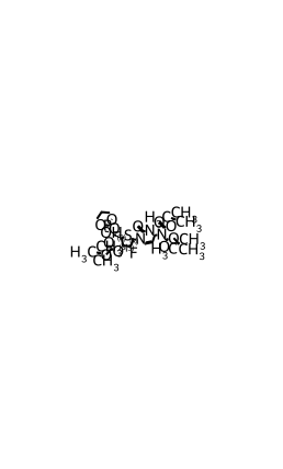 CC(C)(C)OC(=O)O[C@H]1[C@H](F)[C@H](n2ccc(N(C(=O)OC(C)(C)C)C(=O)OC(C)(C)C)nc2=O)S[C@@H]1CO[P]1(O)OCCCO1